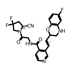 N#C[C@@H]1CC(F)(F)CN1C(=O)CNC(=O)c1ccncc1/C=C/C1CNc2cc(F)ccc2O1